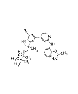 CC(C)Oc1ncccc1Nc1nccc(-c2cc(C#N)c3c(c2)C(C)(CO[Si](C)(C)C(C)(C)C)CN3)n1